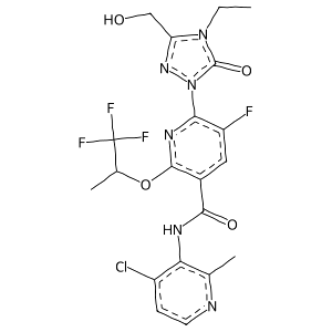 CCn1c(CO)nn(-c2nc(OC(C)C(F)(F)F)c(C(=O)Nc3c(Cl)ccnc3C)cc2F)c1=O